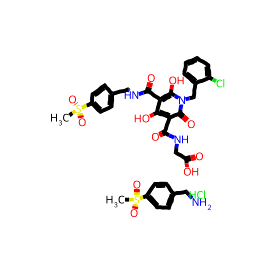 CS(=O)(=O)c1ccc(CN)cc1.CS(=O)(=O)c1ccc(CNC(=O)c2c(O)c(C(=O)NCC(=O)O)c(=O)n(Cc3ccccc3Cl)c2O)cc1.Cl